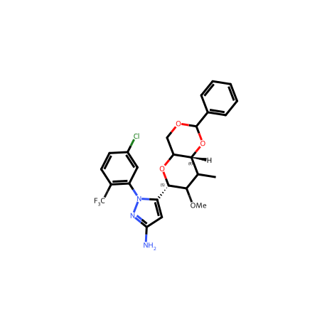 COC1C(C)[C@H]2OC(c3ccccc3)OCC2O[C@H]1c1cc(N)nn1-c1cc(Cl)ccc1C(F)(F)F